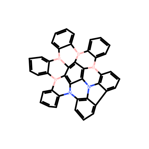 c1ccc2c(c1)B1c3ccccc3B3c4ccccc4N4c5c3c1c1c3c5-n5c6c(cccc6c6cccc4c65)B3c3ccccc3B21